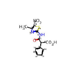 Cc1nc(NC(=O)C(C(=O)O)c2ccccc2)sc1[N+](=O)[O-]